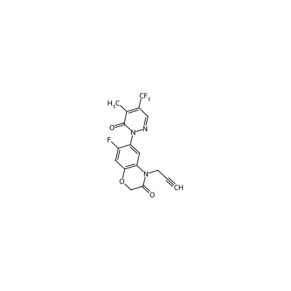 C#CCN1C(=O)COc2cc(F)c(-n3ncc(C(F)(F)F)c(C)c3=O)cc21